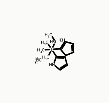 C[SiH](C)[Ti]([CH3])([CH3])([CH3])([C]1=CC=CC1)[c]1ccc[nH]1.Cl.Cl